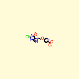 COC(=O)c1ccc(OCCn2ncc3nc(Cl)nc(OC)c32)cn1